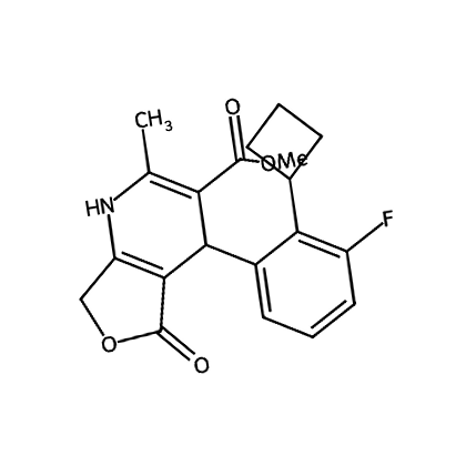 COC(=O)C1=C(C)NC2=C(C(=O)OC2)C1c1cccc(F)c1C1CCC1